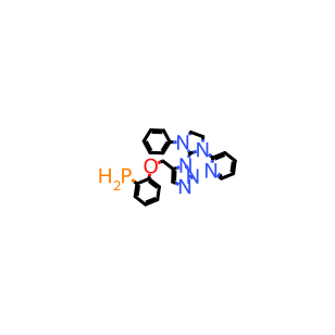 Pc1ccccc1OCc1cnnn1C1N(c2ccccc2)CCN1c1ccccn1